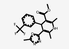 COC(=O)C1=C(C)NC(C)=C(c2nnc(C)o2)C1c1cccc(C(F)(F)F)c1